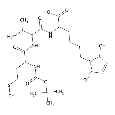 CSCCC(NC(=O)OC(C)(C)C)C(=O)NC(C(=O)NC(CCCCN1C(=O)C=CC1O)C(=O)O)C(C)C